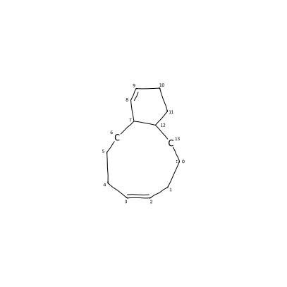 [C]1C/C=C\CCCC2C=CCCC2C1